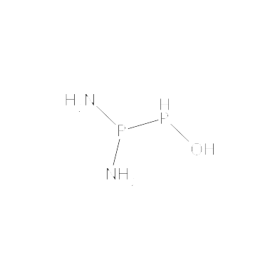 NP(N)PO